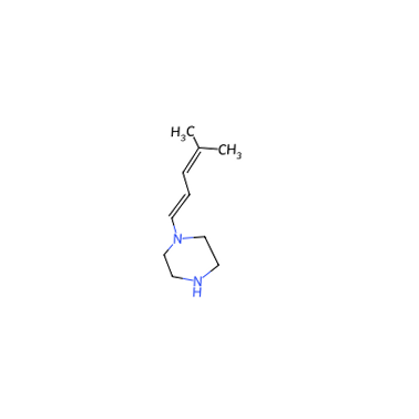 CC(C)=C/C=C/N1CCNCC1